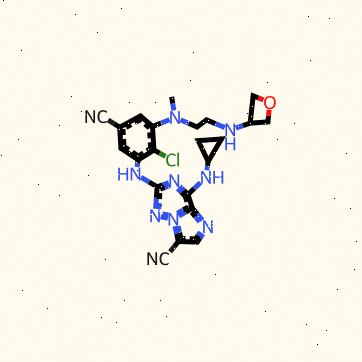 CN(CCNC1COC1)c1cc(C#N)cc(Nc2nc(NC3CC3)c3ncc(C#N)n3n2)c1Cl